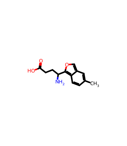 Cc1ccc2c(C(N)CCC(=O)O)occ2c1